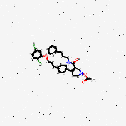 O=C(NCCCc1ccccc1)C1=C(c2ccc(CCCOc3cc(F)ccc3Br)cc2)CCN(OC(=O)C(F)(F)F)C1